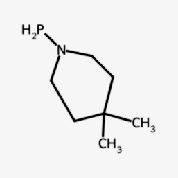 CC1(C)CCN(P)CC1